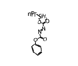 CCC[SiH2]OC(=O)N=NC(=O)Oc1ccccc1